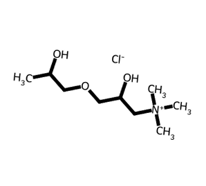 CC(O)COCC(O)C[N+](C)(C)C.[Cl-]